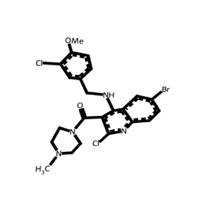 COc1ccc(CNc2c(C(=O)N3CCN(C)CC3)c(Cl)nc3ccc(Br)cc23)cc1Cl